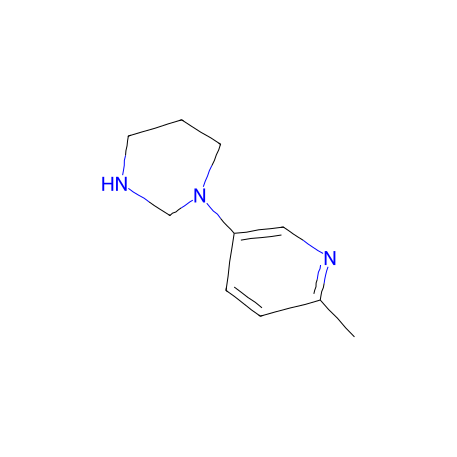 Cc1ccc(N2CCCNC2)cn1